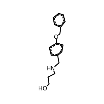 OCCCNCc1ccc(OCc2ccccc2)cc1